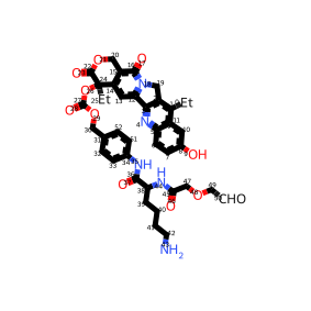 CCc1c2c(nc3ccc(O)cc13)-c1cc3c(c(=O)n1C2)COC(=O)C3(CC)OC(=O)OCc1ccc(NC(=O)C(CCCCN)NC(=O)COCC=O)cc1